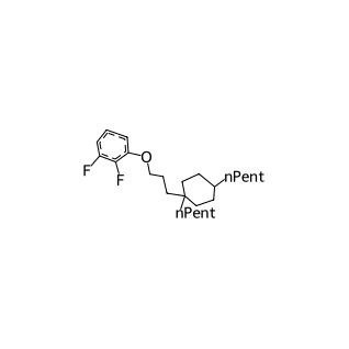 CCCCCC1CCC(CCCCC)(CCCOc2cccc(F)c2F)CC1